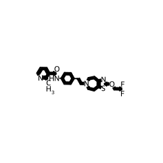 Cc1ncccc1C(=O)N[C@H]1CC[C@H](CCN2CCc3nc(OCC(F)F)sc3CC2)CC1